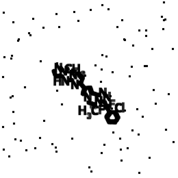 C[C@H]1Cn2cc(-c3ccnc(Nc4ccnn4C)n3)cc2-c2nnc(C(F)(F)c3ccccc3Cl)n21